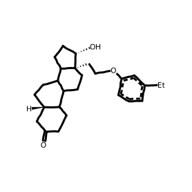 CCc1cccc(OCC[C@]23CCC4C(CC[C@H]5CC(=O)CCC45)C2CC[C@@H]3O)c1